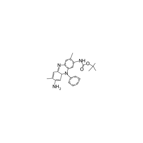 CC1=CC2=Nc3cc(C)c(NC(=O)OC(C)(C)C)cc3N(c3ccccc3)C2C=C1N